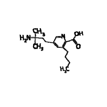 CCCCc1cc(CCC(C)(C)N)cnc1C(=O)O